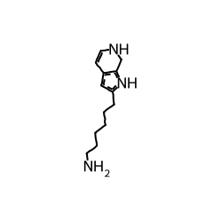 NCCCCCCc1cc2c([nH]1)CNC=C2